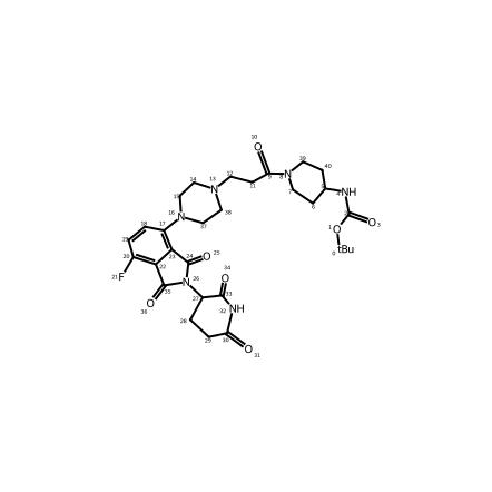 CC(C)(C)OC(=O)NC1CCN(C(=O)CCN2CCN(c3ccc(F)c4c3C(=O)N(C3CCC(=O)NC3=O)C4=O)CC2)CC1